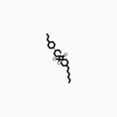 CCCCCCC1CC[C@]2(CC1)C(=O)[C@@]1(CC[C@@H](C3CCC(CCC)CC3)CC1)C2(Cl)Cl